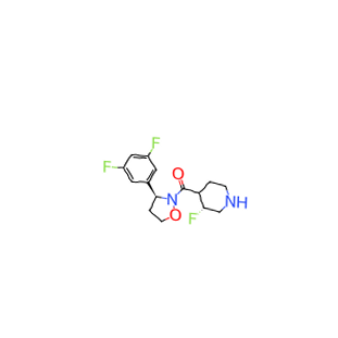 O=C(C1CCNC[C@@H]1F)N1OCC[C@H]1c1cc(F)cc(F)c1